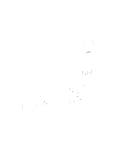 O=C(O)N1CCC(c2nc(C3(CN[C@H]4C[C@@H]4c4ccccc4)CC3)no2)CC1